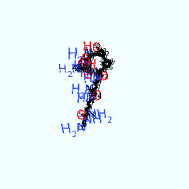 NCCNC(=O)[C@@H](N)CCCCNC(=O)[C@@H](N)CCCNC(=O)[C@@H]1Cc2cccc(c2)-c2ccc(O)c(c2)C[C@H](N)C(=O)N[C@@H](C[C@@H](O)CN)C(=O)N1